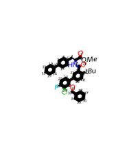 COC(=O)[C@H](Cc1ccc(-c2ccccc2)cc1)NC(=O)c1cc(-c2ccc(F)c(Cl)c2OCc2ccccc2)ccc1C(C)(C)C